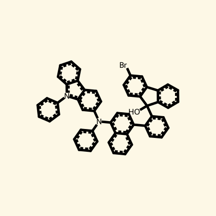 OC1(c2ccccc2-c2ccc(N(c3ccccc3)c3ccc4c5ccccc5n(-c5ccccc5)c4c3)c3ccccc23)c2ccccc2-c2cc(Br)ccc21